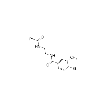 CCC1C=CC(C(=O)NCCNC(=O)C(C)C)=CC1C